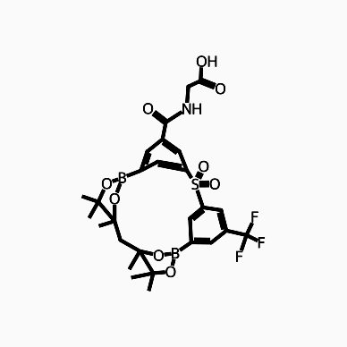 CC1(C)OB2OC1(C)CC1(C)OB(OC1(C)C)c1cc(C(F)(F)F)cc(c1)S(=O)(=O)c1cc2cc(C(=O)NCC(=O)O)c1